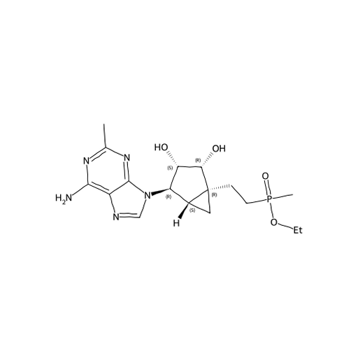 CCOP(C)(=O)CC[C@]12C[C@@H]1[C@@H](n1cnc3c(N)nc(C)nc31)[C@H](O)[C@@H]2O